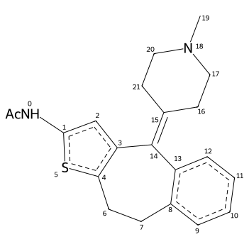 CC(=O)Nc1cc2c(s1)CCc1ccccc1C2=C1CCN(C)CC1